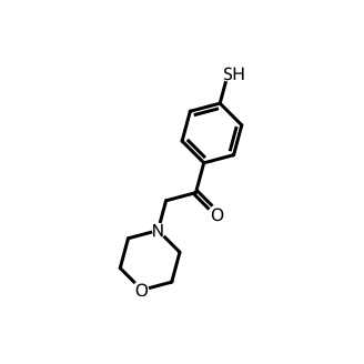 O=C(CN1CCOCC1)c1ccc(S)cc1